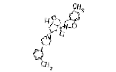 Cc1cccc(C2CCN([C@@H]3C[C@H]4OCC[C@@]4(C(=O)N4COc5ccc(C)cc5C4)C3)CC2)c1